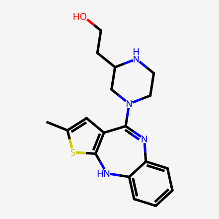 Cc1cc2c(s1)Nc1ccccc1N=C2N1CCNC(CCO)C1